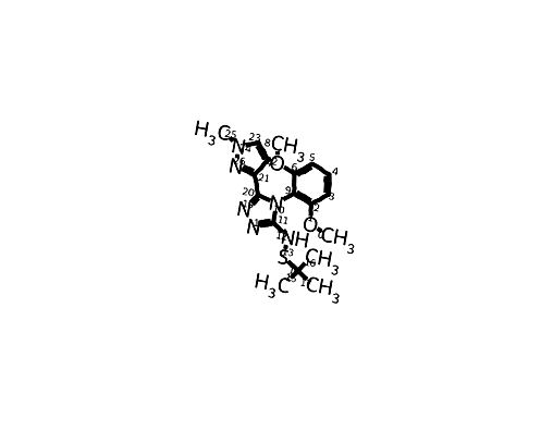 COc1cccc(OC)c1-n1c(NSC(C)(C)C)nnc1-c1ccn(C)n1